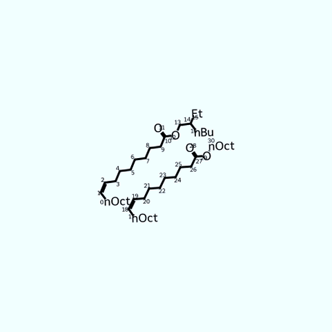 CCCCCCCC/C=C\CCCCCCCC(=O)OCC(CC)CCCC.CCCCCCCC/C=C\CCCCCCCC(=O)OCCCCCCCC